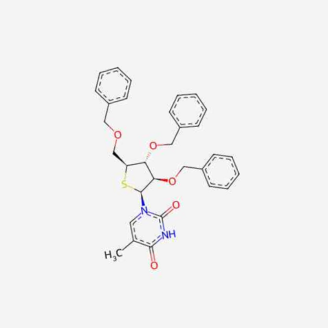 Cc1cn([C@H]2S[C@@H](COCc3ccccc3)[C@H](OCc3ccccc3)[C@H]2OCc2ccccc2)c(=O)[nH]c1=O